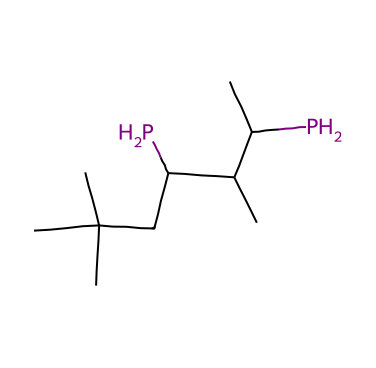 CC(P)C(C)C(P)CC(C)(C)C